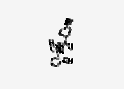 C/C(=N\NC(=O)c1ccc(Br)cc1)c1ccccc1O